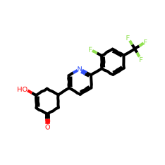 O=C1C=C(O)CC(c2ccc(-c3ccc(C(F)(F)F)cc3F)nc2)C1